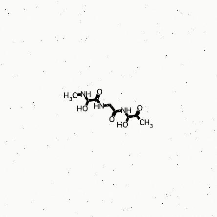 CNC(O)C(=O)NCC(=O)NC(O)C(C)=O